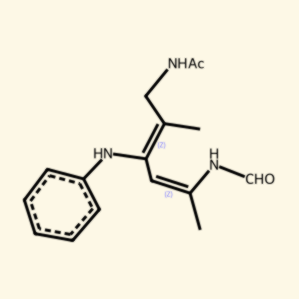 CC(=O)NC/C(C)=C(/C=C(/C)NC=O)Nc1ccccc1